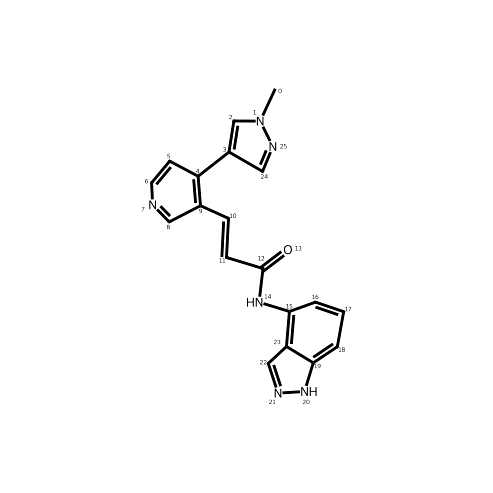 Cn1cc(-c2ccncc2C=CC(=O)Nc2cccc3[nH]ncc23)cn1